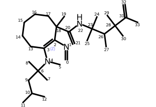 C=N/C1=C(\N(C)C(C)(C)CC(C)C)CCCCCC1(C)C(=C)NC(C)(C)C(C)C(C)(C)C(=C)C